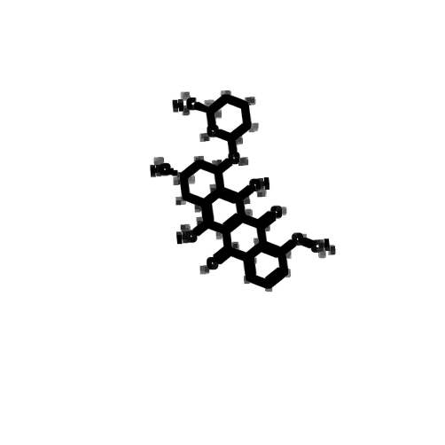 COc1cccc2c1C(=O)c1c(O)c3c(c(O)c1C2=O)C[C@H](O)CC3OC1CCC[C@H](C)O1